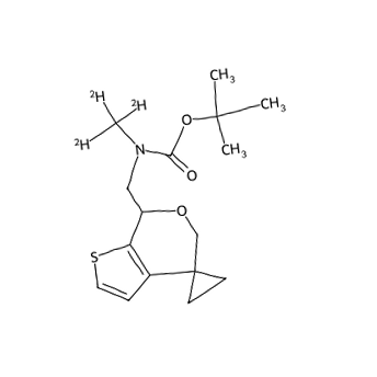 [2H]C([2H])([2H])N(CC1OCC2(CC2)c2ccsc21)C(=O)OC(C)(C)C